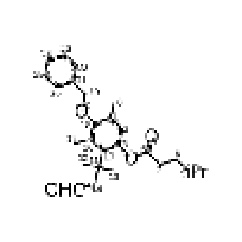 Cc1cc(OC(=O)CCC(C)C)c(C(C)(C)CC=O)c(C)c1OCc1ccccc1